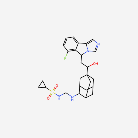 O=S(=O)(NCNC1C2CC3CC1CC(C(O)CC1c4c(F)cccc4-c4cncn41)(C3)C2)C1CC1